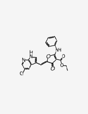 CCOC(=O)C1=C(Nc2ccccc2)O/C(=C\c2c[nH]c3ncc(Cl)cc23)C1=O